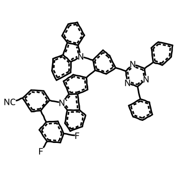 N#Cc1ccc(-n2c3ccccc3c3cc(-c4cc(-c5nc(-c6ccccc6)nc(-c6ccccc6)n5)ccc4-n4c5ccccc5c5ccccc54)ccc32)c(-c2cc(F)cc(F)c2)c1